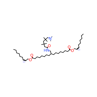 CCCCCC/C=C\COC(=O)CCCCCCCC(CCCCCCCC(=O)OC/C=C\CCCCCC)CNC(=O)CC(C)(C)CC(C)(C)CN(C)C